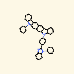 c1ccc(-n2c(-c3ccc(-n4c5ccccc5c5cc6cc7c8ccccc8n(-c8ccccc8)c7cc6cc54)cc3)nc3ccccc32)cc1